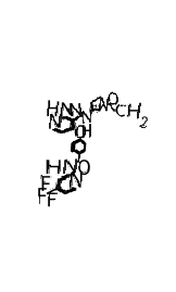 C=CC(=O)N1CC[C@@H](Nc2n[nH]c3nccc(Oc4ccc(C(=O)Nc5cc(C(F)(F)F)ccn5)cc4)c23)C1